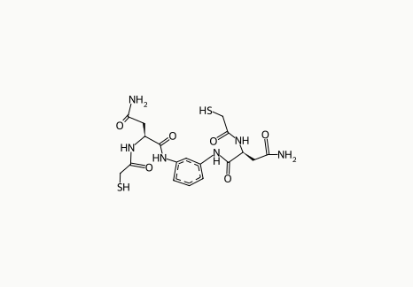 NC(=O)C[C@H](NC(=O)CS)C(=O)Nc1cccc(NC(=O)[C@H](CC(N)=O)NC(=O)CS)c1